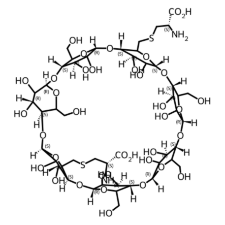 N[C@H](CSCC1O[C@@H]2O[C@@H]3C(CO)O[C@H](O[C@@H]4C(CO)O[C@H](O[C@@H]5C(CSC[C@@H](N)C(=O)O)O[C@H](O[C@@H]6C(CO)O[C@H](O[C@@H]7C(CO)O[C@H](O[C@@H]8C(CO)O[C@H](O[C@H]1[C@H](O)C2O)C(O)[C@H]8O)C(O)[C@H]7O)C(O)[C@H]6O)C(O)[C@H]5O)C(O)[C@H]4O)C(O)[C@H]3O)C(=O)O